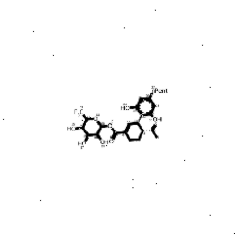 C=C(C)[C@@H]1CCC(C(=O)OC2OC(C(F)(F)F)C(O)C(O)C2O)=C[C@H]1c1c(O)cc(CCCCC)cc1O